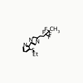 CCSc1cccnc1-c1cnc(CCC(F)(F)C(C)(F)F)cn1